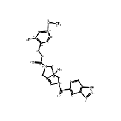 O=C(c1ccc2[nH]nnc2c1)N1C=C2CN(C(=O)CCc3ccc(OC(F)(F)F)cc3F)C[C@@H]2C1